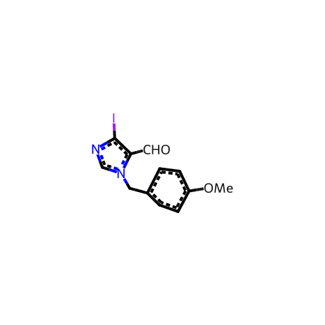 COc1ccc(Cn2cnc(I)c2C=O)cc1